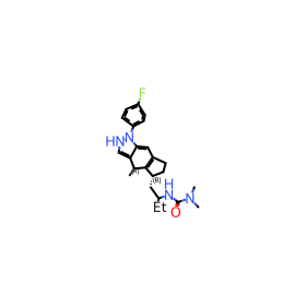 CCC(C[C@H]1CCC2=C1[C@@H](C)C1=CNN(c3ccc(F)cc3)C1=C2)NC(=O)N(C)C